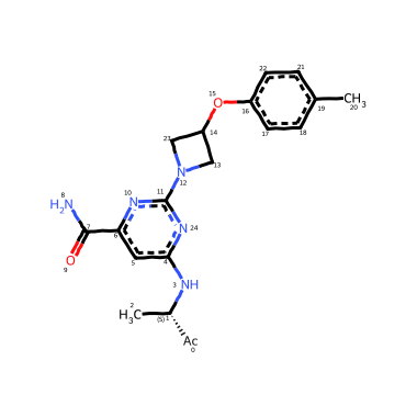 CC(=O)[C@H](C)Nc1cc(C(N)=O)nc(N2CC(Oc3ccc(C)cc3)C2)n1